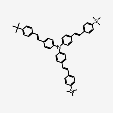 CC(C)(C)c1ccc(/C=C/c2ccc(N(c3ccc(/C=C/c4ccc([Si](C)(C)C)cc4)cc3)c3ccc(/C=C/c4ccc([Si](C)(C)C)cc4)cc3)cc2)cc1